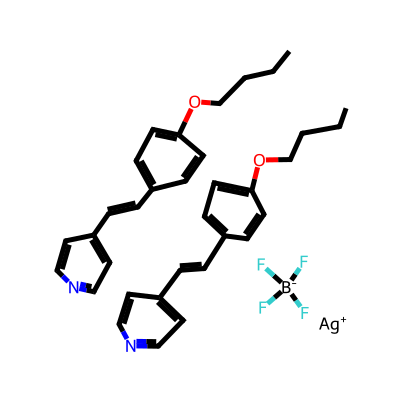 CCCCOc1ccc(C=Cc2ccncc2)cc1.CCCCOc1ccc(C=Cc2ccncc2)cc1.F[B-](F)(F)F.[Ag+]